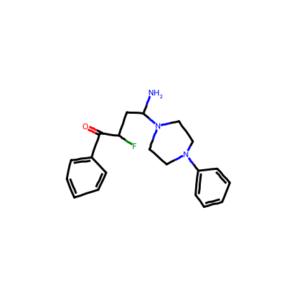 NC(CC(F)C(=O)c1ccccc1)N1CCN(c2ccccc2)CC1